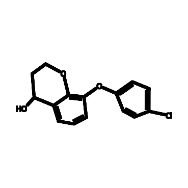 OC1CCOc2c(Oc3ccc(Cl)cc3)cccc21